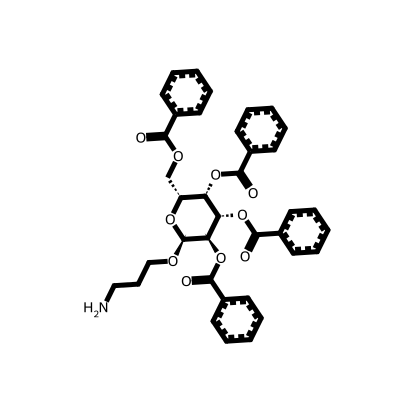 NCCCO[C@H]1O[C@H](COC(=O)c2ccccc2)[C@H](OC(=O)c2ccccc2)[C@H](OC(=O)c2ccccc2)[C@H]1OC(=O)c1ccccc1